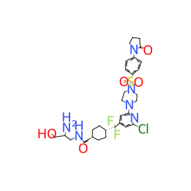 NC(CO)CNC(=O)[C@H]1CC[C@H](C(F)(F)c2cc(Cl)nc(N3CCN(S(=O)(=O)c4ccc(N5CCCC5=O)cc4)CC3)c2)CC1